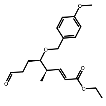 CCOC(=O)C=C[C@@H](C)[C@@H](CCC=O)OCc1ccc(OC)cc1